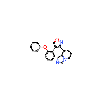 c1ccc(Oc2ccccc2-c2conc2-c2cccn3cncc23)cc1